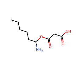 CCCCCC(N)OC(=O)CC(=O)O